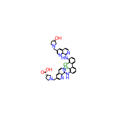 O=C(O)[C@H]1CCN(Cc2cnc3c(Nc4cccc(-c5cccc(Nc6nccc7cc(CN8CC[C@H](O)C8)cnc67)c5Cl)c4Cl)nccc3c2)C1